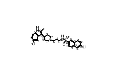 Cc1[nH]c2ccc(Cl)cc2c1C1=CCN(CCCNS(=O)(=O)c2ccc3cc(Cl)ccc3c2)CC1